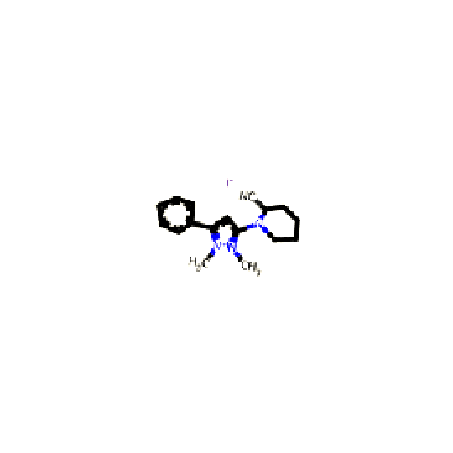 Cn1c(N2CCCCC2C#N)cc(-c2ccccc2)[n+]1C.[I-]